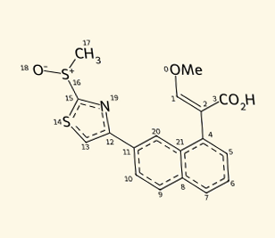 COC=C(C(=O)O)c1cccc2ccc(-c3csc([S+](C)[O-])n3)cc12